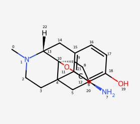 CN1CCC23C[C@@]4(N)CC[C@@]2(OC4)[C@H]1Cc1ccc(O)cc13